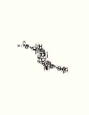 [2H]C1=C(c2c([2H])c([2H])c([2H])c(NC(=O)c3nc4c(n3C([2H])([2H])[2H])CCN(CCC35CCC(C(=O)O)(CC3)C5)C4)c2Cl)C(=C)C(NC(=O)c2nc3c(n2C([2H])([2H])[2H])CCN(CCC24CCC(COC([2H])([2H])[2H])(CC2)C4)C3)C([2H])=C1[2H]